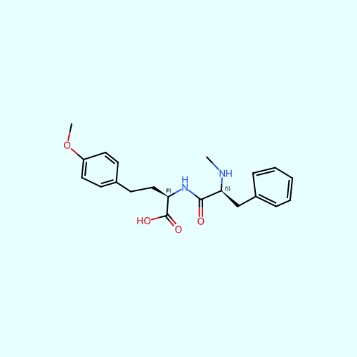 CN[C@@H](Cc1ccccc1)C(=O)N[C@H](CCc1ccc(OC)cc1)C(=O)O